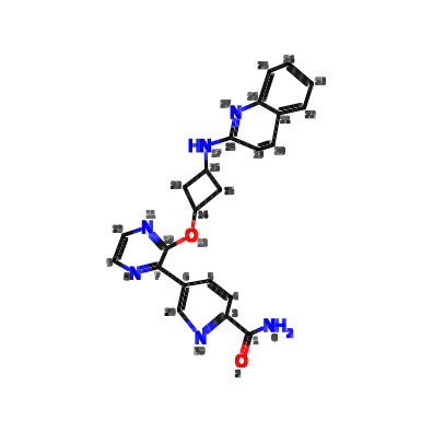 NC(=O)c1ccc(-c2nccnc2OC2CC(Nc3ccc4ccccc4n3)C2)cn1